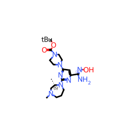 C[C@H]1CN(C)CCCN1c1nc(/C(N)=N/O)cc(N2CCN(C(=O)OC(C)(C)C)CC2)n1